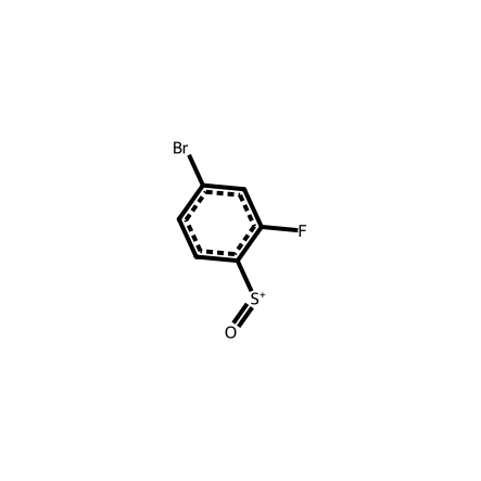 O=[S+]c1ccc(Br)cc1F